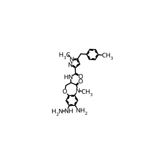 Cc1ccc(Cc2cc(C(=O)NC3COc4cc(NN)c(N)cc4N(C)C3=O)nn2C)cc1